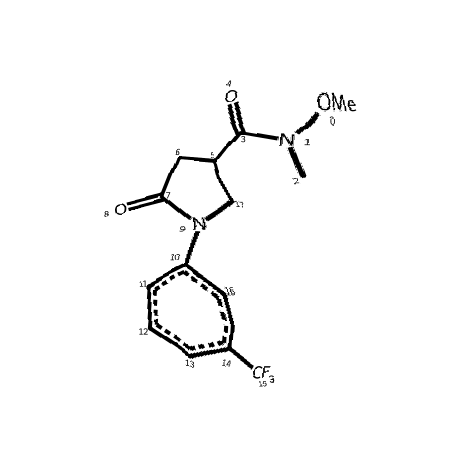 CON(C)C(=O)C1CC(=O)N(c2cccc(C(F)(F)F)c2)C1